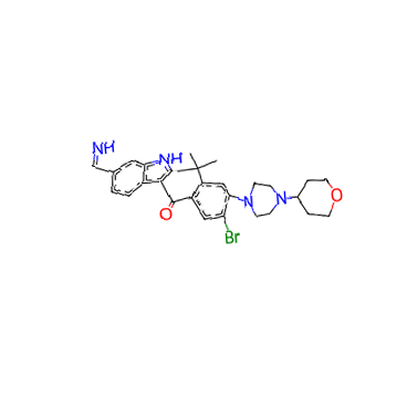 CC1(C)c2cc(N3CCN(C4CCOCC4)CC3)c(Br)cc2C(=O)c2c1[nH]c1cc(C=N)ccc21